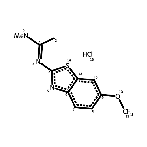 CN/C(C)=N/c1nc2ccc(OC(F)(F)F)cc2s1.Cl